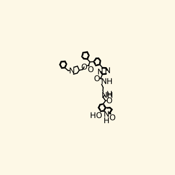 O=C(NCCCNCC(O)c1ccc(O)c2[nH]c(=O)ccc12)c1cncc(-c2cccc(C(C(=O)OCC3CCN(Cc4ccccc4)CC3)c3ccccc3)c2)n1